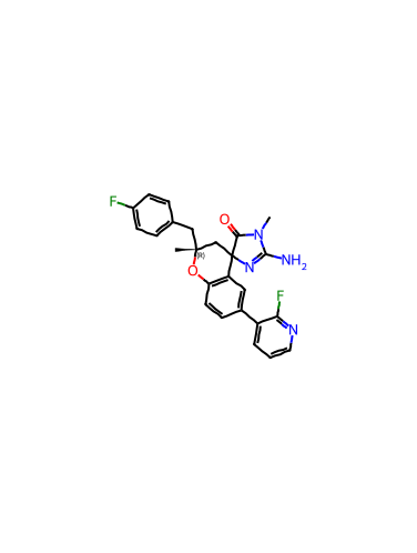 CN1C(=O)C2(C[C@@](C)(Cc3ccc(F)cc3)Oc3ccc(-c4cccnc4F)cc32)N=C1N